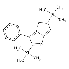 C[Si](C)(C)C1=CC2=C(c3ccccc3)C([Si](C)(C)C)=PC2=C1